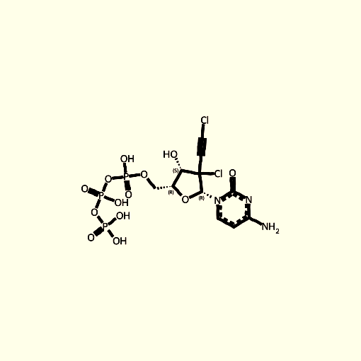 Nc1ccn([C@@H]2O[C@H](COP(=O)(O)OP(=O)(O)OP(=O)(O)O)[C@H](O)C2(Cl)C#CCl)c(=O)n1